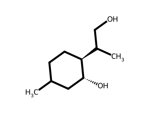 CC1CC[C@@H](C(C)CO)[C@H](O)C1